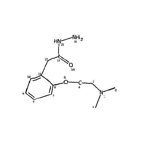 CN(C)CCOc1ccccc1CC(=O)NN